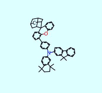 CC1(C)CCC(C)(C)c2cc(N(c3ccc(-c4cccc5c4Oc4ccccc4C54C5CC6CC7CC4C75C6)cc3)c3ccc4c(c3)C(C)(C)c3ccccc3-4)ccc21